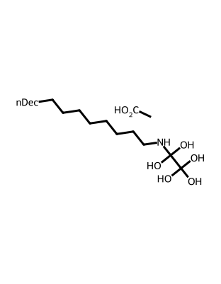 CC(=O)O.CCCCCCCCCCCCCCCCCCNC(O)(O)C(O)(O)O